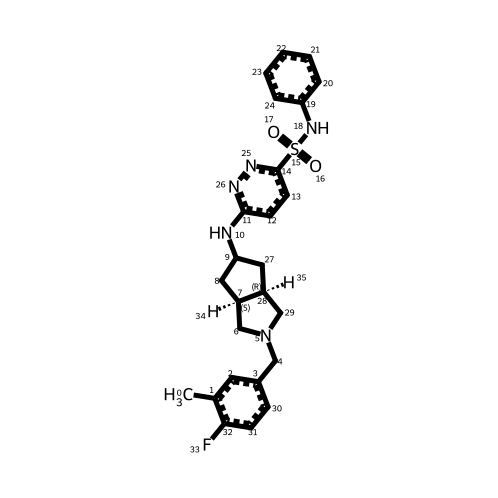 Cc1cc(CN2C[C@H]3CC(Nc4ccc(S(=O)(=O)Nc5ccccc5)nn4)C[C@H]3C2)ccc1F